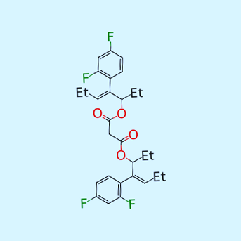 CCC=C(c1ccc(F)cc1F)C(CC)OC(=O)CC(=O)OC(CC)C(=CCC)c1ccc(F)cc1F